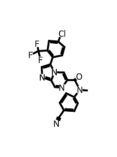 CN(C(=O)c1cn2c(-c3ccc(Cl)cc3C(F)(F)F)cnc2cn1)c1ccc(C#N)cc1